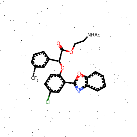 CC(=O)NCCOC(=O)C(Oc1ccc(Cl)cc1-c1nc2ccccc2o1)c1cccc(C(F)(F)F)c1